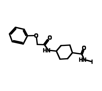 O=C(COc1ccccc1)NC1CCC(C(=O)NI)CC1